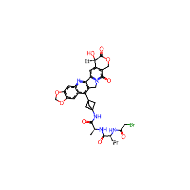 CC[C@@]1(O)C(=O)OCc2c1cc1n(c2=O)Cc2c-1nc1cc3c(cc1c2C12CC(NC(=O)[C@H](C)NC(=O)[C@@H](NC(=O)CBr)C(C)C)(C1)C2)OCO3